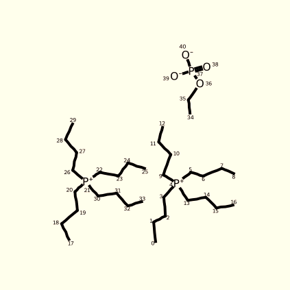 CCCC[P+](CCCC)(CCCC)CCCC.CCCC[P+](CCCC)(CCCC)CCCC.CCOP(=O)([O-])[O-]